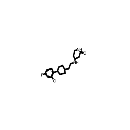 O=C1CC(NCCC2CCC(c3ccc(F)cc3Cl)CC2)CCN1